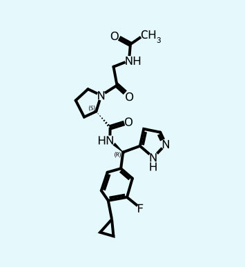 CC(=O)NCC(=O)N1CCC[C@H]1C(=O)N[C@H](c1ccc(C2CC2)c(F)c1)c1ccn[nH]1